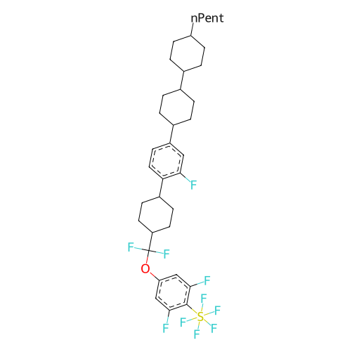 CCCCCC1CCC(C2CCC(c3ccc(C4CCC(C(F)(F)Oc5cc(F)c(S(F)(F)(F)(F)F)c(F)c5)CC4)c(F)c3)CC2)CC1